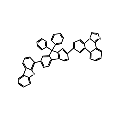 c1ccc(C2(c3ccccc3)c3cc(-c4ccc5c(c4)c4ccccc4c4nccn54)ccc3-c3ccc(-c4cccc5c4oc4ccccc45)cc32)cc1